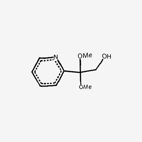 COC(CO)(OC)c1ccccn1